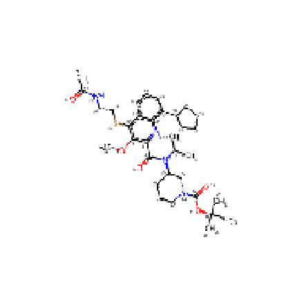 COc1c(C(=O)N(C(C)C)[C@@H]2CCCN(C(=O)OC(C)(C)C)C2)nc2c(C3CCCC3)cccc2c1SCCNC(C)=O